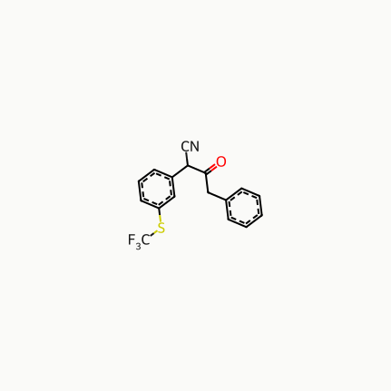 N#CC(C(=O)Cc1ccccc1)c1cccc(SC(F)(F)F)c1